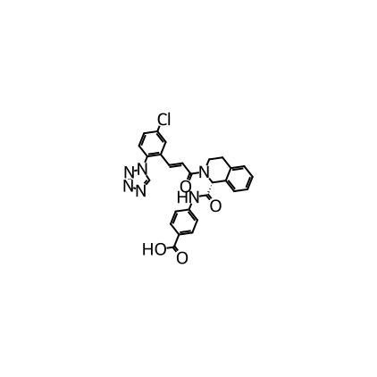 O=C(O)c1ccc(NC(=O)[C@H]2c3ccccc3CCN2C(=O)/C=C/c2cc(Cl)ccc2-n2cnnn2)cc1